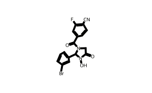 N#Cc1ccc(C(=O)N2CC(=O)N(O)C2c2cccc(Br)c2)cc1F